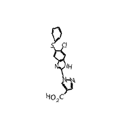 O=C(O)c1cnn(-c2nc3cc(Sc4ccccc4)c(Cl)cc3[nH]2)c1